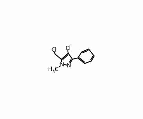 Cn1nc(-c2ccccc2)c(Cl)c1CCl